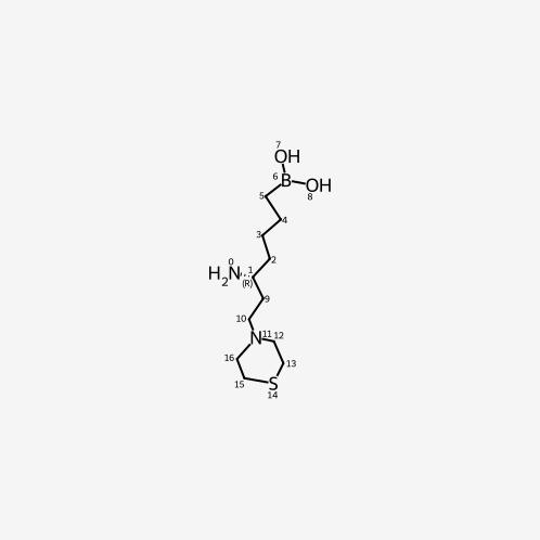 N[C@H](CCCCB(O)O)CCN1CCSCC1